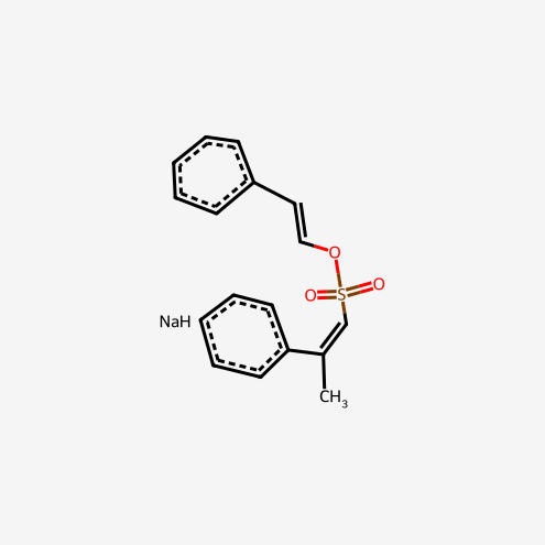 CC(=CS(=O)(=O)OC=Cc1ccccc1)c1ccccc1.[NaH]